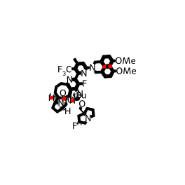 COc1ccc(CN(Cc2ccc(OC)cc2)c2cc(C)c(C(F)(F)F)c(-c3nc4c5c(nc(OC[C@@]67CCCN6C[C@H](F)C7)nc5c3F)N3C[C@H]5CC[C@@H]([C@H]3CCC4)N5C(=O)OC(C)(C)C)n2)cc1